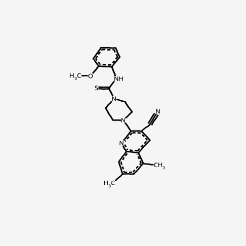 COc1ccccc1NC(=S)N1CCN(c2nc3cc(C)cc(C)c3cc2C#N)CC1